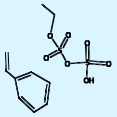 C=Cc1ccccc1.CCOS(=O)(=O)OS(=O)(=O)O